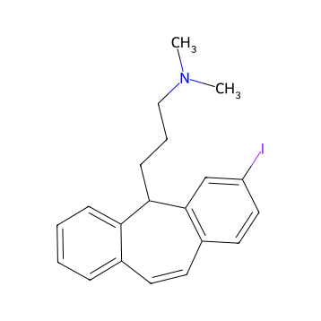 CN(C)CCCC1c2ccccc2C=Cc2ccc(I)cc21